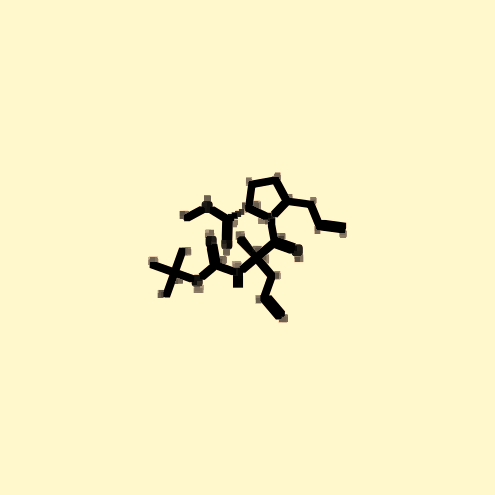 C=CCC1CC[C@@H](C(=O)OC)N1C(=O)[C@](C)(CC=C)NC(=O)OC(C)(C)C